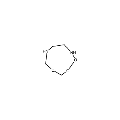 C1CCONCCNC1